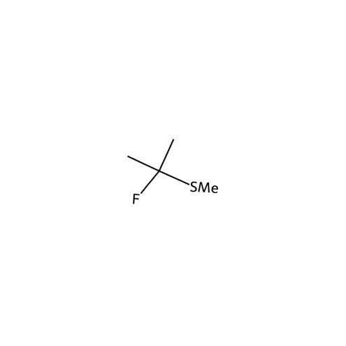 CSC(C)(C)F